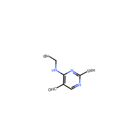 CSc1ncc(C=O)c(NCC(C)(C)C)n1